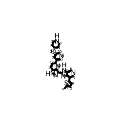 Cc1ccc(-c2cncc3[nH]c(-c4n[nH]c5ccc(-c6cncc(OC7CCNCC7)c6)nc45)nc23)s1